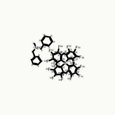 C[NH+](Cc1ccccc1)Cc1ccccc1.Fc1c(F)c(F)c([B-](c2c(F)c(F)c(F)c(F)c2F)(c2c(F)c(F)c(F)c(F)c2F)c2c(F)c(F)c(F)c(F)c2F)c(F)c1F